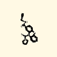 C#CCNC(=O)c1ccc2c(c1)N(C(CC)N1CCCC1)c1ccccc1S2